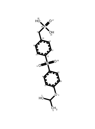 CC(O)Oc1ccc(S(=O)(=O)c2ccc(CP(=O)(O)O)cc2)cc1